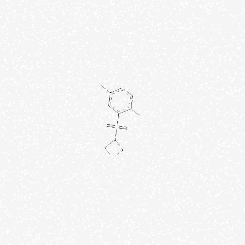 Cc1ccc(Br)c(S(=O)(=O)C2COC2)c1